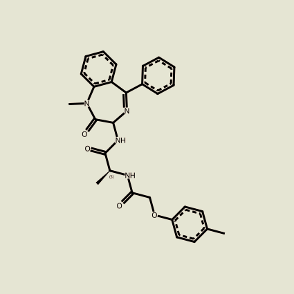 Cc1ccc(OCC(=O)N[C@@H](C)C(=O)NC2N=C(c3ccccc3)c3ccccc3N(C)C2=O)cc1